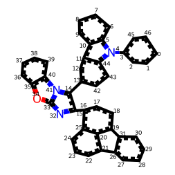 c1ccc(-n2c3ccccc3c3cc(-c4c(-c5ccc6c7c(cccc57)-c5ccccc5-6)nc5oc6ccccc6n45)ccc32)cc1